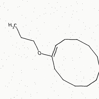 CCCO/C1=C/CCCCCCCCCC1